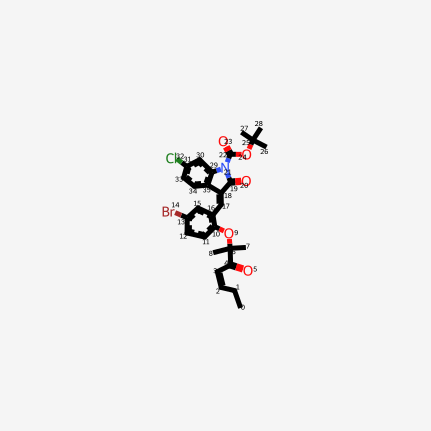 CC/C=C\C(=O)C(C)(C)Oc1ccc(Br)cc1/C=C1/C(=O)N(C(=O)OC(C)(C)C)c2cc(Cl)ccc21